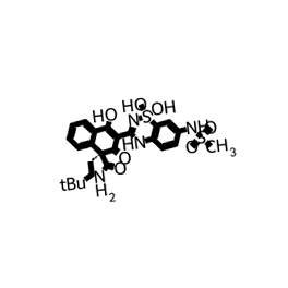 CC(C)(C)CC[C@@]1(C(N)=O)C(=O)C(C2=NS(O)(O)c3cc(NS(C)(=O)=O)ccc3N2)=C(O)c2ccccc21